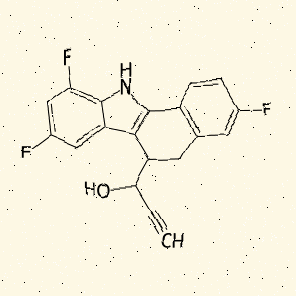 C#CC(O)C1Cc2cc(F)ccc2-c2[nH]c3c(F)cc(F)cc3c21